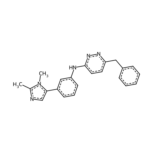 Cc1ncc(-c2cccc(Nc3ccc(Cc4ccccc4)nn3)c2)n1C